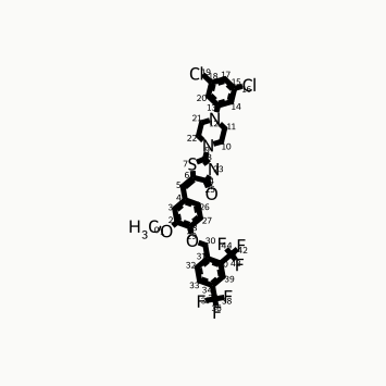 COc1cc(C=C2SC(N3CCN(c4cc(Cl)cc(Cl)c4)CC3)=NC2=O)ccc1OCc1ccc(C(F)(F)F)cc1C(F)(F)F